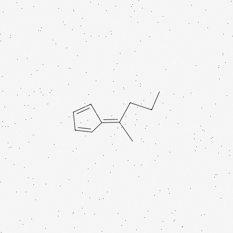 CCCC(C)=C1C=CC=C1